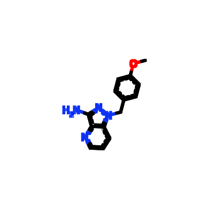 COc1ccc(Cn2nc(N)c3ncccc32)cc1